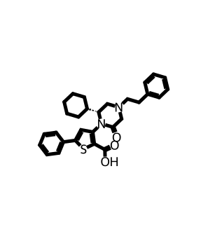 O=C(O)c1sc(-c2ccccc2)cc1N1C(=O)CN(CCc2ccccc2)C[C@H]1C1CCCCC1